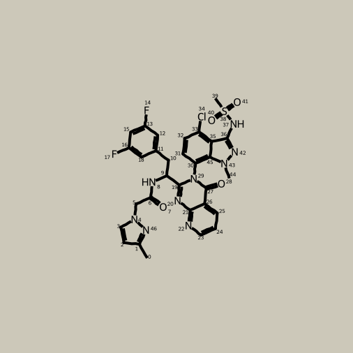 Cc1ccn(CC(=O)NC(Cc2cc(F)cc(F)c2)c2nc3ncccc3c(=O)n2-c2ccc(Cl)c3c(NS(C)(=O)=O)nn(C)c23)n1